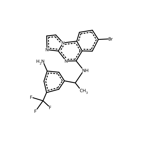 CC(Nc1nc2nccn2c2ccc(Br)cc12)c1cc(N)cc(C(F)(F)F)c1